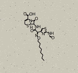 CCCCCCCCO/N=C(/C(=O)NC1C(=O)N2C(C(=O)O)=CCS[C@H]12)c1csc(NC=O)n1